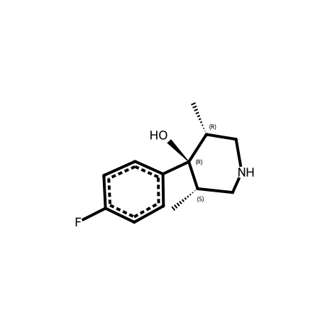 C[C@@H]1CNC[C@H](C)[C@]1(O)c1ccc(F)cc1